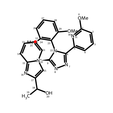 COc1cccc(-c2nnc([N@+]34C=CC=CC3=NC(C(C)O)=C4)n2-c2c(OC)cccc2OC)n1